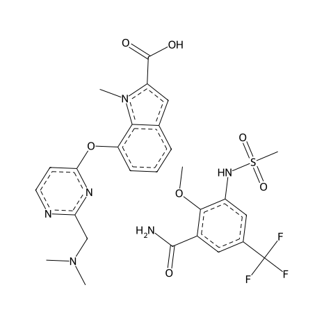 CN(C)Cc1nccc(Oc2cccc3cc(C(=O)O)n(C)c23)n1.COc1c(NS(C)(=O)=O)cc(C(F)(F)F)cc1C(N)=O